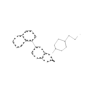 O=c1[nH]c2ncc(-c3cccc4ncccc34)nc2n1C1CCC(CCO)CC1